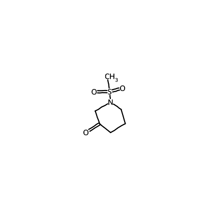 CS(=O)(=O)N1CCCC(=O)C1